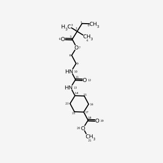 CCC(C)(C)C(=O)OCCNC(=O)NC1CCC(C(=O)OC)CC1